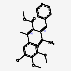 COC(=O)C(/C(=C\c1ccncc1)C(N)=O)=C(\C)c1cc(Cl)c(OC)c(OC)c1